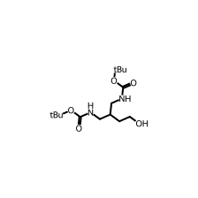 CC(C)(C)OC(=O)NCC(CCO)CNC(=O)OC(C)(C)C